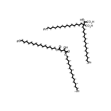 CC(C)CCCCCCCCCCCCCCCC(CCCCCCCCCCCCCCCC(C)C)(C(=O)O)C(O)C(=O)O.CC(C)CCCCCCCCCCCCCCCOC(=O)CC(O)C(=O)OCCCCCCCCCCCCCCCC(C)C